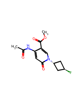 COC(=O)c1cn([C@H]2C[C@H](F)C2)c(=O)cc1NC(C)=O